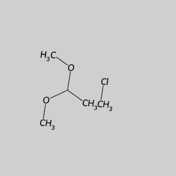 CCl.COC(C)OC